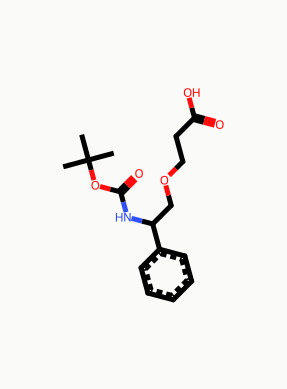 CC(C)(C)OC(=O)NC(COCCC(=O)O)c1ccccc1